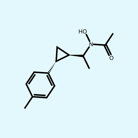 CC(=O)N(O)C(C)[C@@H]1C[C@H]1c1ccc(C)cc1